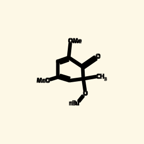 CCCCOC1(C)C=C(OC)C=C(OC)C1=O